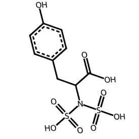 O=C(O)C(Cc1ccc(O)cc1)N(S(=O)(=O)O)S(=O)(=O)O